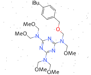 CCC(C)c1ccc(COCN(COC)c2nc(N(COC)COC)nc(N(COC)COC)n2)cc1